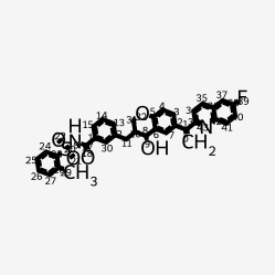 C=C(c1ccc2c(c1)C(O)C(Cc1cccc(C(=O)NS(=O)(=O)c3ccccc3C)c1)CO2)c1ccc2cc(F)ccc2n1